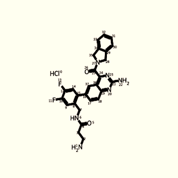 Cl.NCCC(=O)NCc1cc(F)c(F)cc1-c1ccc2nc(N)nc(C(=O)N3Cc4ccccc4C3)c2c1